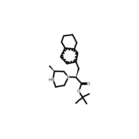 C[C@H]1CN([C@@H](Cc2ccc3c(c2)CCCC3)C(=O)OC(C)(C)C)CCN1